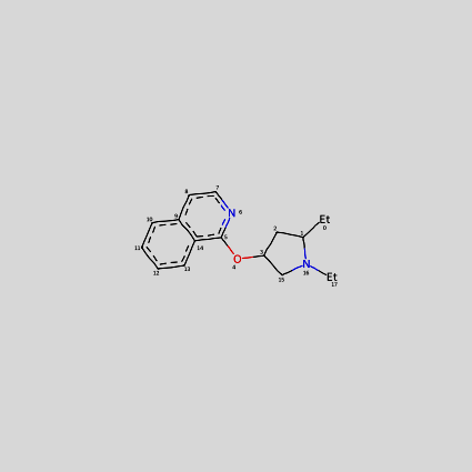 CCC1CC(Oc2nccc3ccccc23)CN1CC